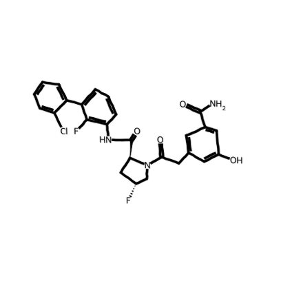 NC(=O)c1cc(O)cc(CC(=O)N2C[C@H](F)C[C@H]2C(=O)Nc2cccc(-c3ccccc3Cl)c2F)c1